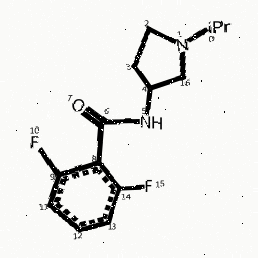 CC(C)N1CCC(NC(=O)c2c(F)cccc2F)C1